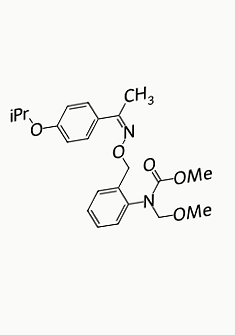 COCN(C(=O)OC)c1ccccc1CON=C(C)c1ccc(OC(C)C)cc1